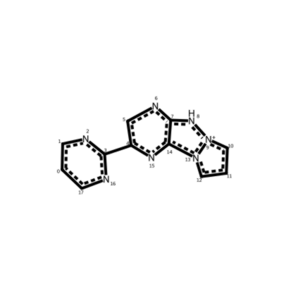 c1cnc(-c2cnc3[nH][n+]4cccn4c3n2)nc1